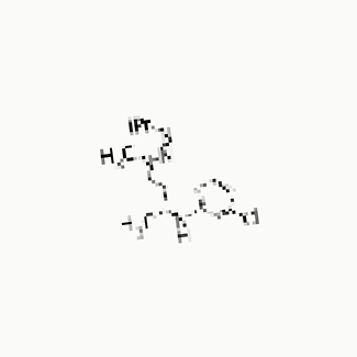 CC(C)/N=N\N(C)CCC(C)Nc1cccc(Cl)c1